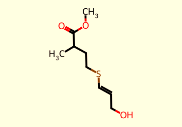 COC(=O)C(C)CCSC=CCO